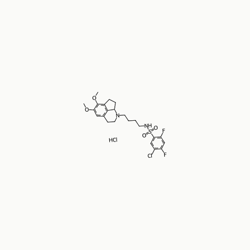 COc1cc2c3c(c1OC)CCC3N(CCCCNS(=O)(=O)c1cc(Cl)c(F)cc1F)CC2.Cl